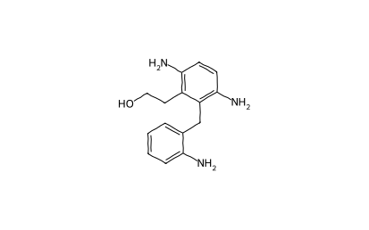 Nc1ccccc1Cc1c(N)ccc(N)c1CCO